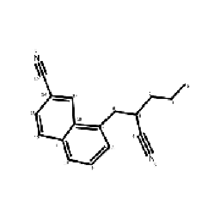 CCCC(C#N)Cc1cccc2ccc(C#N)cc12